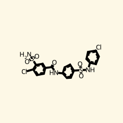 NS(=O)(=O)c1cc(C(=O)Nc2ccc(S(=O)(=O)Nc3ccc(Cl)cc3)cc2)ccc1Cl